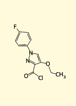 CCOc1cn(-c2ccc(F)cc2)nc1C(=O)Cl